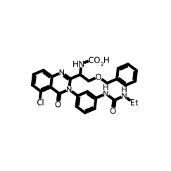 CCNC(=O)Nc1cccc(-n2c(C(COCc3ccccc3)NC(=O)O)nc3cccc(Cl)c3c2=O)c1